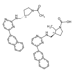 CC(=O)N1CC[C@@H](CNc2nccc(-c3ccc4ccccc4c3)n2)C1.CC1[C@H](CNc2nccc(-c3ccc4ccccc4c3)n2)CCN1C(=O)O